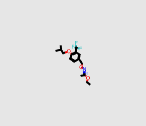 CCO/C(C)=N/OCc1ccc(OCC(C)C)c(C(F)(F)F)c1